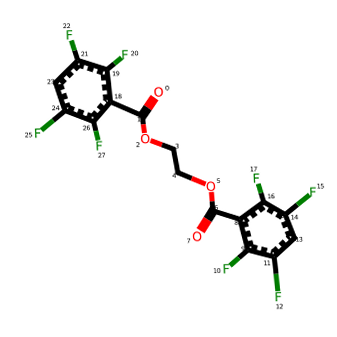 O=C(OCCOC(=O)c1c(F)c(F)cc(F)c1F)c1c(F)c(F)cc(F)c1F